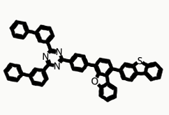 c1ccc(-c2cccc(-c3nc(-c4ccc(-c5ccc(-c6ccc7c(c6)sc6ccccc67)c6c5oc5ccccc56)cc4)nc(-c4cccc(-c5ccccc5)c4)n3)c2)cc1